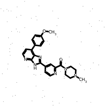 COc1ccc(-c2ccnc3[nH]c(-c4ccnc(C(=O)N5CCN(C)CC5)c4)nc23)cc1